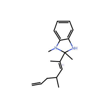 C=CCC(C)/C=C(\C)C1(C)Nc2ccccc2N1C